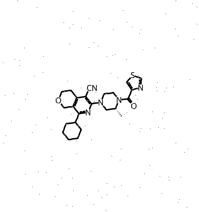 C[C@@H]1CN(c2nc(C3CCCCC3)c3c(c2C#N)CCOC3)CCN1C(=O)c1cscn1